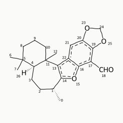 C[C@@H]1CC[C@H]2C(C)(C)CCCC2(C)c2c1oc1c(C=O)c3c(cc21)OCO3